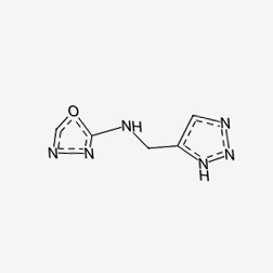 c1nnc(NCc2cnn[nH]2)o1